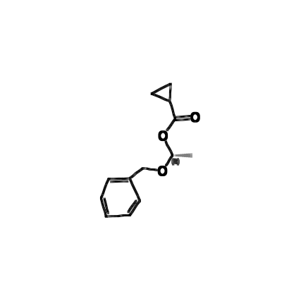 C[C@H](OCc1ccccc1)OC(=O)C1CC1